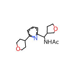 CC(=O)NC(c1cccc(C2CCOCC2)n1)C1CCOC1